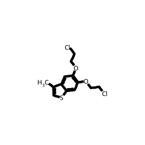 Cc1csc2cc(OCCCl)c(OCCCl)cc12